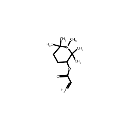 C=CC(=O)OC1CCC(C)(C)N(C)C1(C)C